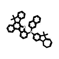 CC1(C)C2=CC=CCCC2c2ccc(N(c3ccc4ccccc4c3)c3cccc4c3oc3c5c(c6ccccc6c34)C(C)(C)c3ccccc3-5)cc21